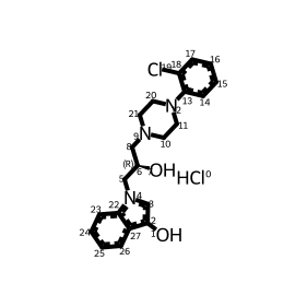 Cl.Oc1cn(C[C@H](O)CN2CCN(c3ccccc3Cl)CC2)c2ccccc12